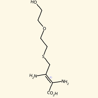 N/C(CSCCOCCO)=C(/N)C(=O)O